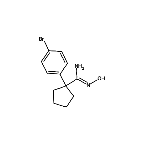 N/C(=N\O)C1(c2ccc(Br)cc2)CCCC1